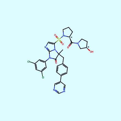 CC1(Cc2ccc(-c3cncnc3)cc2)C(=O)N(c2cc(Cl)cc(Cl)c2)c2ncc(S(=O)(=O)N3CCC[C@H]3C(=O)N3CC[C@@H](O)C3)n21